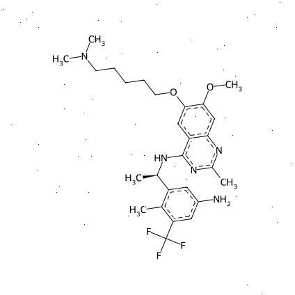 COc1cc2nc(C)nc(N[C@H](C)c3cc(N)cc(C(F)(F)F)c3C)c2cc1OCCCCCN(C)C